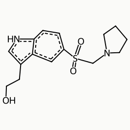 O=S(=O)(CN1CCCC1)c1ccc2[nH]cc(CCO)c2c1